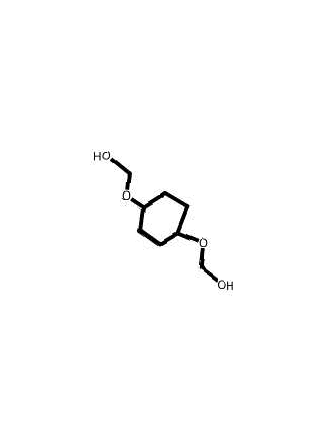 OCOC1CCC(OCO)CC1